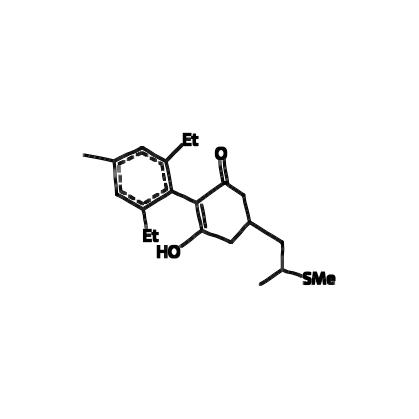 CCc1cc(C)cc(CC)c1C1=C(O)CC(CC(C)SC)CC1=O